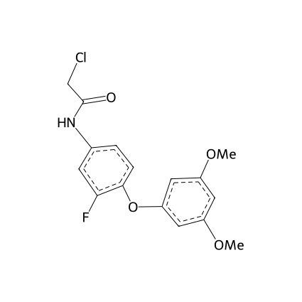 COc1cc(OC)cc(Oc2ccc(NC(=O)CCl)cc2F)c1